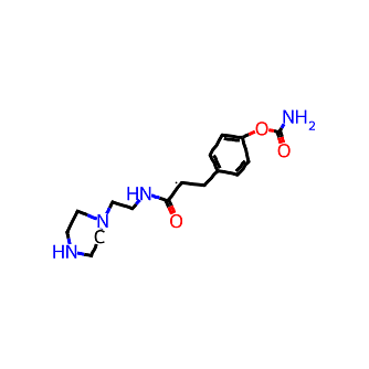 NC(=O)Oc1ccc(C[CH]C(=O)NCCN2CCNCC2)cc1